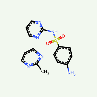 Cc1ncccn1.Nc1ccc(S(=O)(=O)Nc2ncccn2)cc1